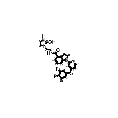 O=C(NCCN1CCNC1O)c1cccc2c1CCN2c1cc(Cc2cc(F)c(F)c(F)c2)ccn1